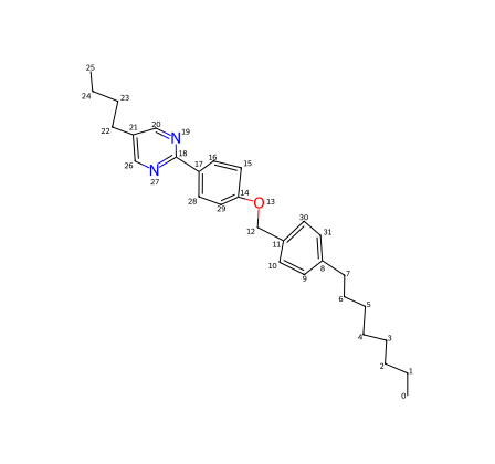 CCCCCCCCc1ccc(COc2ccc(-c3ncc(CCCC)cn3)cc2)cc1